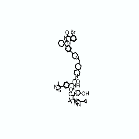 Cc1ncsc1-c1ccc([C@H](CC(=O)N2CCC3(CCC(CN4CCC(c5ccc6c(c5)-n5c(nc(=O)c7c(Br)cccc75)C65CCCCC5)CC4)CC3)CC2)NC(=O)[C@@H]2C[C@@H](O)CN2C(=O)[C@@H](n2cc(C3CC3)nn2)C(C)(C)C)cc1